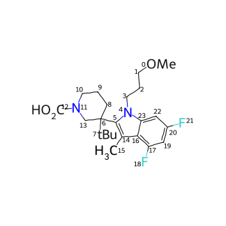 COCCCn1c(C2(C(C)(C)C)CCCN(C(=O)O)C2)c(C)c2c(F)cc(F)cc21